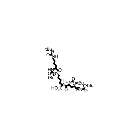 CC(C)(C)OC(=O)NCCCCC(NC(=O)OC(C)(C)C)C(=O)NCCCCC(NC(=O)C(CCCCNC(=O)OC(C)(C)C)NC(=O)OC(C)(C)C)C(=O)O